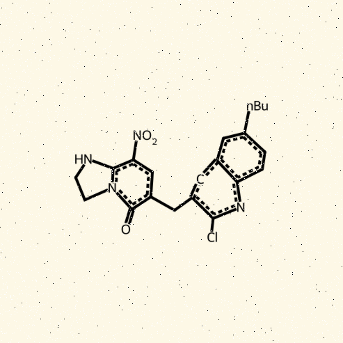 CCCCc1ccc2nc(Cl)c(Cc3cc([N+](=O)[O-])c4n(c3=O)CCN4)cc2c1